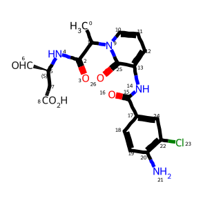 CC(C(=O)N[C@H](C=O)CC(=O)O)n1cccc(NC(=O)c2ccc(N)c(Cl)c2)c1=O